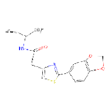 CCCCCC(NC(=O)Cc1csc(-c2ccc3c(c2)OCO3)n1)C(=O)O